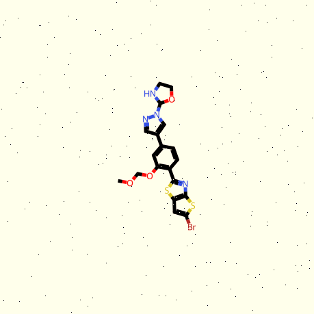 COCOc1cc(-c2cnn(C3NCCO3)c2)ccc1-c1nc2sc(Br)cc2s1